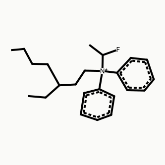 CCCCC(CC)CC[N+](c1ccccc1)(c1ccccc1)C(C)F